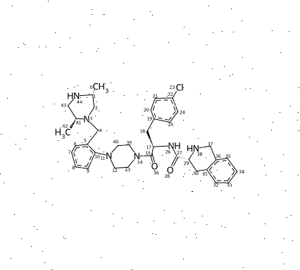 C[C@@H]1CN(Cc2ccccc2N2CCN(C(=O)[C@@H](Cc3ccc(Cl)cc3)NC(=O)[C@H]3Cc4ccccc4CN3)CC2)[C@@H](C)CN1